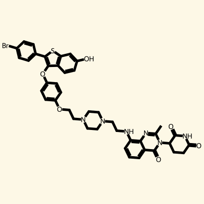 Cc1nc2c(NCCN3CCN(CCOc4ccc(Oc5c(-c6ccc(Br)cc6)sc6cc(O)ccc56)cc4)CC3)cccc2c(=O)n1C1CCC(=O)NC1=O